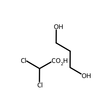 O=C(O)C(Cl)Cl.OCCCO